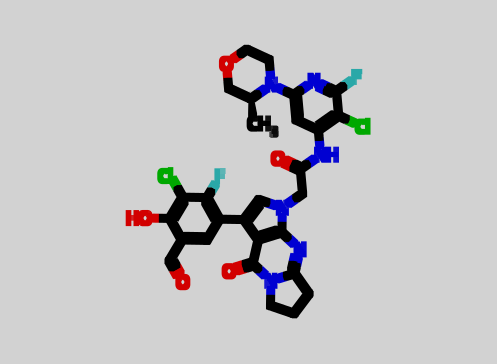 C[C@H]1COCCN1c1cc(NC(=O)Cn2cc(-c3cc(C=O)c(O)c(Cl)c3F)c3c(=O)n4c(nc32)CCC4)c(Cl)c(F)n1